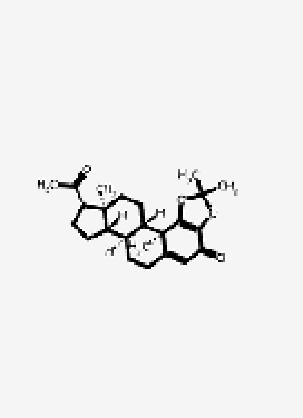 CC(=O)[C@@H]1CC[C@H]2[C@@H]3CCC4=CC(=O)C5=C(OC(C)(C)O5)[C@]4(C)[C@H]3CC[C@]12C